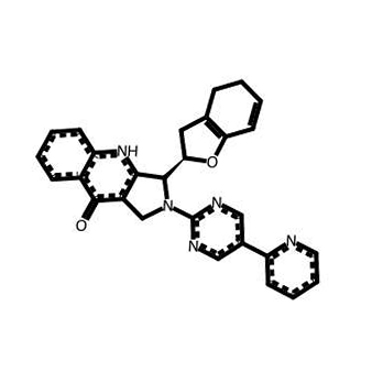 O=c1c2c([nH]c3ccccc13)C([C@H]1CC3=C(C=CCC3)O1)N(c1ncc(-c3ccccn3)cn1)C2